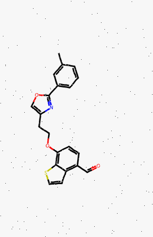 Cc1cccc(-c2nc(CCOc3ccc(C=O)c4ccsc34)co2)c1